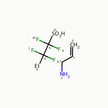 C=CCN.CCC(F)(F)C(F)(F)S(=O)(=O)O